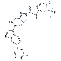 CC(NC(=O)c1cnn2cc(-c3ccnc(F)c3)ccc12)c1nc(C(=O)Nc2cc(C(F)(F)F)c(Cl)cn2)cs1